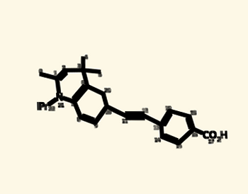 CC1=CC(C)(C)C2=C(C=CC(C#Cc3ccc(C(=O)O)cc3)C2)N1C(C)C